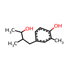 Cc1cc(CC(C)C(C)O)ccc1O